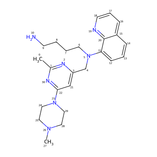 Cc1nc(CN(CCCCN)c2cccc3cccnc23)cc(N2CCN(C)CC2)n1